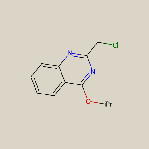 CC(C)Oc1nc(CCl)nc2ccccc12